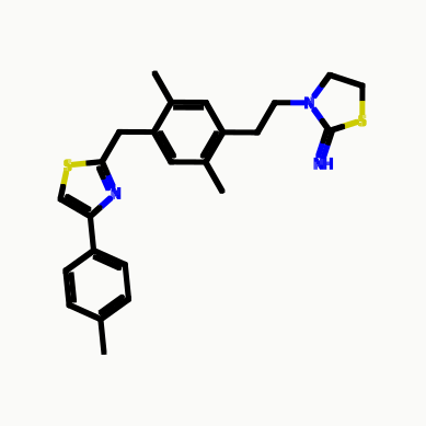 Cc1ccc(-c2csc(Cc3cc(C)c(CCN4CCSC4=N)cc3C)n2)cc1